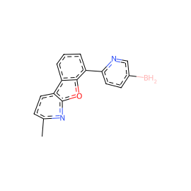 Bc1ccc(-c2cccc3c2oc2nc(C)ccc23)nc1